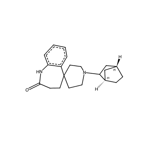 O=C1CCC2(CCN(C3C[C@@H]4CC[C@@H]3C4)CC2)c2ccccc2N1